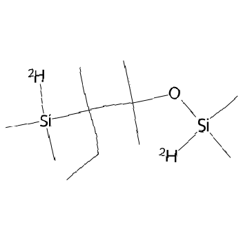 [2H][Si](C)(C)OC(C)(C)C(C)(CC)[Si]([2H])(C)C